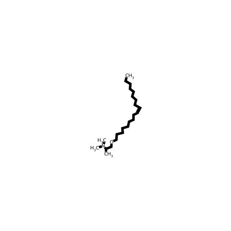 CCCCCCCC/C=C\CCCCCCCCOCC(C)N(C)C